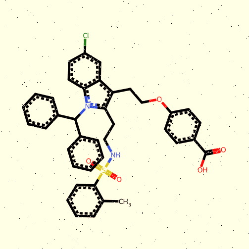 Cc1ccccc1S(=O)(=O)NCCc1c(CCOc2ccc(C(=O)O)cc2)c2cc(Cl)ccc2n1C(c1ccccc1)c1ccccc1